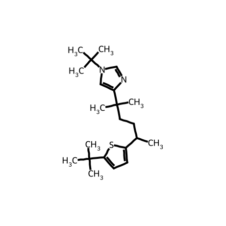 CC(CCC(C)(C)c1cn(C(C)(C)C)cn1)c1ccc(C(C)(C)C)s1